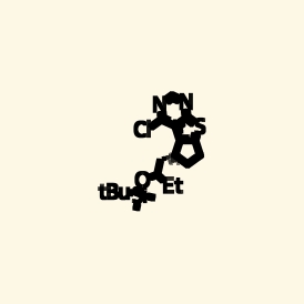 CCC(C[C@H]1CCc2sc3ncnc(Cl)c3c21)O[Si](C)(C)C(C)(C)C